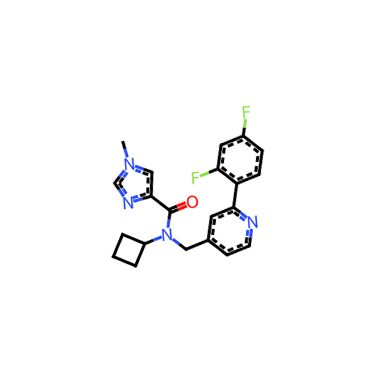 Cn1cnc(C(=O)N(Cc2ccnc(-c3ccc(F)cc3F)c2)C2CCC2)c1